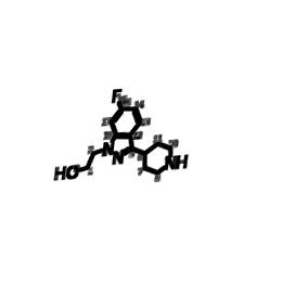 OCCn1nc(C2CCNCC2)c2ccc(F)cc21